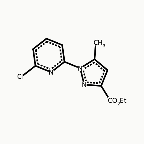 CCOC(=O)c1cc(C)n(-c2cccc(Cl)n2)n1